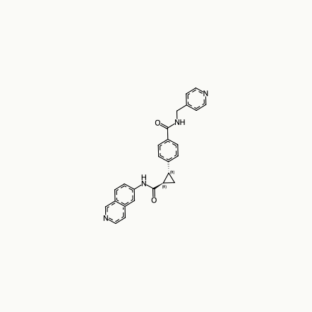 O=C(NCc1ccncc1)c1ccc([C@@H]2C[C@H]2C(=O)Nc2ccc3cnccc3c2)cc1